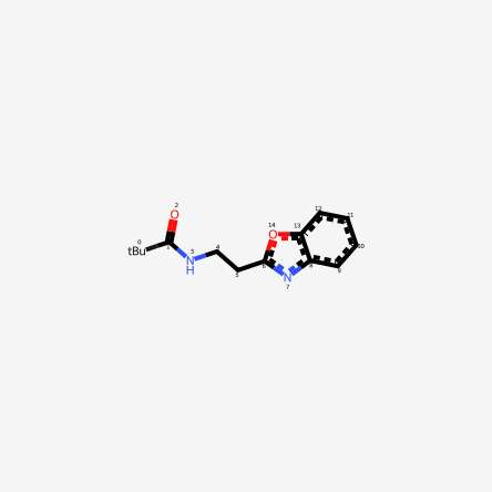 CC(C)(C)C(=O)NCCc1nc2ccccc2o1